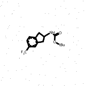 CC(C)(C)OC(=O)NC1Cc2ccc(C(F)(F)F)cc2C1